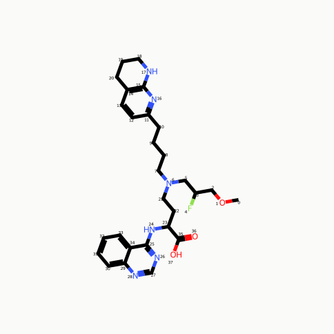 COCC(F)CN(CCCCc1ccc2c(n1)NCCC2)CCC(Nc1ncnc2ccccc12)C(=O)O